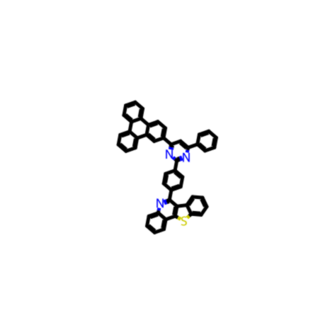 c1ccc(-c2cc(-c3ccc4c5ccccc5c5ccccc5c4c3)nc(-c3ccc(-c4nc5ccccc5c5sc6ccccc6c45)cc3)n2)cc1